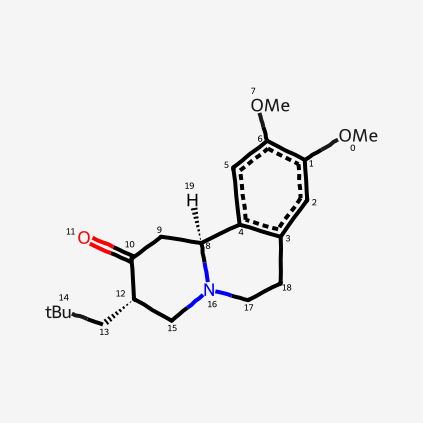 COc1cc2c(cc1OC)[C@@H]1CC(=O)[C@@H](CC(C)(C)C)CN1CC2